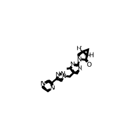 Cc1nc(N2C[C@H]3C[C@H]3C2=O)ncc1Cn1cc(-c2cnccn2)nn1